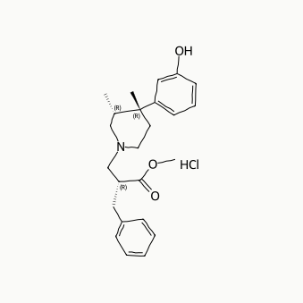 COC(=O)[C@H](Cc1ccccc1)CN1CC[C@@](C)(c2cccc(O)c2)[C@@H](C)C1.Cl